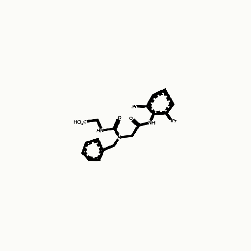 CC(C)c1cccc(C(C)C)c1NC(=O)CN(Cc1ccccc1)C(=O)NCC(=O)O